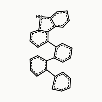 c1ccc(-c2ccccc2-c2ccccc2-c2cccc3[nH]c4ccccc4c23)cc1